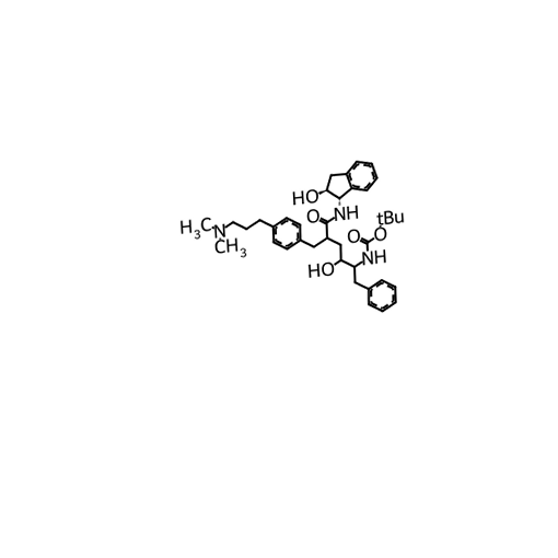 CN(C)CCCc1ccc(CC(CC(O)C(Cc2ccccc2)NC(=O)OC(C)(C)C)C(=O)N[C@H]2c3ccccc3C[C@@H]2O)cc1